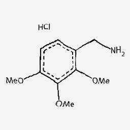 COc1ccc(CN)c(OC)c1OC.Cl